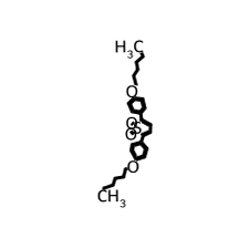 CCCCCCOc1ccc(C2=CC=C(c3ccc(OCCCCCC)cc3)S2(=O)=O)cc1